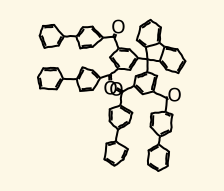 O=C(c1ccc(-c2ccccc2)cc1)c1cc(C(=O)c2ccc(-c3ccccc3)cc2)cc(C2(c3cc(C(=O)c4ccc(-c5ccccc5)cc4)cc(C(=O)c4ccc(-c5ccccc5)cc4)c3)c3ccccc3-c3ccccc32)c1